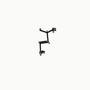 [CH2]CC(C)C=CCCC